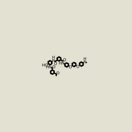 CNc1ccc(Oc2cccc(Oc3ccc(NC(=O)c4cccc(C(=O)Nc5ccc(O)c(NC(=O)c6cccc(C(C)=O)c6)c5)c4)cc3)c2)cc1